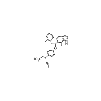 CC#CC(CC(=O)O)c1ccc(OC(Cc2ccccc2C)c2ccc3cc[nH]c3c2C)cc1